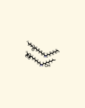 CCCCCCC(O)C/C=C\CCCCCCCC(=O)OC(C)=O.CCCCCCCC/C=C\CCCCCCCC(=O)OCCCC